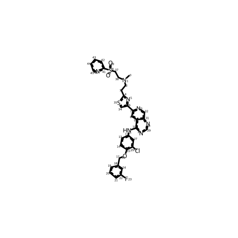 CN(CCc1nc(-c2cc3c(Nc4ccc(OCc5cccc(F)c5)c(Cl)c4)ncnc3cn2)cs1)CCS(=O)(=O)c1ccccn1